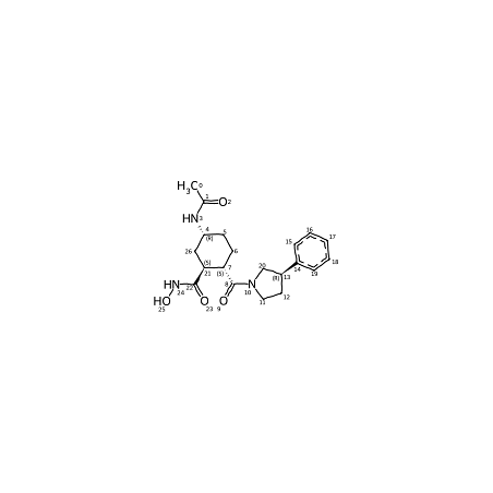 CC(=O)N[C@@H]1CC[C@H](C(=O)N2CC[C@H](c3ccccc3)C2)[C@@H](C(=O)NO)C1